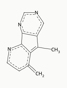 C=c1ccnc2c1=C(C)c1cncnc1-2